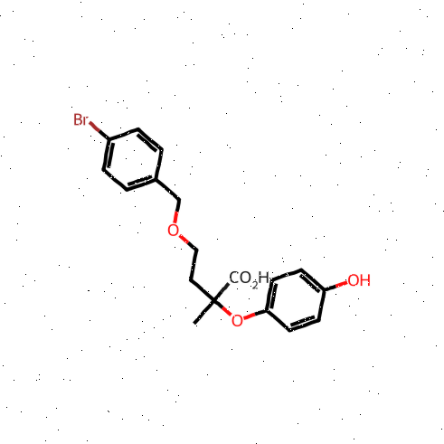 CC(CCOCc1ccc(Br)cc1)(Oc1ccc(O)cc1)C(=O)O